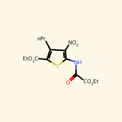 CCCc1c(C(=O)OCC)sc(NC(=O)C(=O)OCC)c1[N+](=O)[O-]